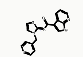 O=C(/N=c1\sccn1Cc1ccncc1)c1c[nH]c2ncccc12